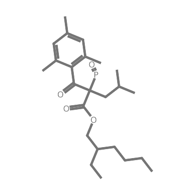 CCCCC(CC)COC(=O)C(CC(C)C)(P=O)C(=O)c1c(C)cc(C)cc1C